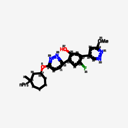 CCC[C@]1(C)CCCC[C@H](Oc2ccc(-c3cc(F)c(-c4cnnc(OC)c4)cc3O)nn2)C1